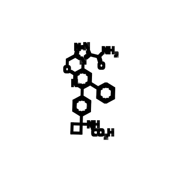 NC(=O)c1nnc2n1-c1cc(-c3ccccc3)c(-c3ccc(C4(NC(=O)O)CCC4)cc3)nc1OC2